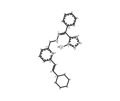 Cn1nnnc1C(=NOCc1cccc(C=CC2CCCCC2)n1)c1ccccc1